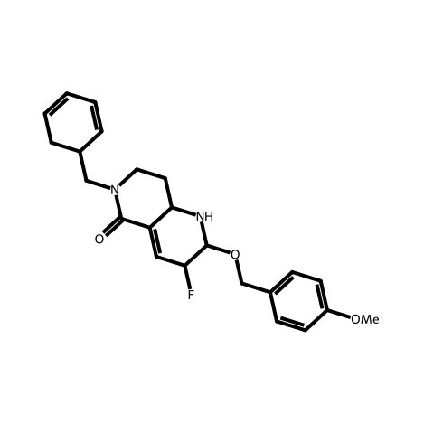 COc1ccc(COC2NC3CCN(CC4C=CC=CC4)C(=O)C3=CC2F)cc1